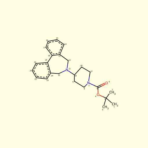 CC(C)(C)OC(=O)N1CCC(N2Cc3ccccc3-c3ccccc3C2)CC1